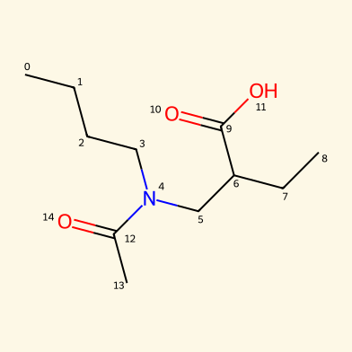 CCCCN(CC(CC)C(=O)O)C(C)=O